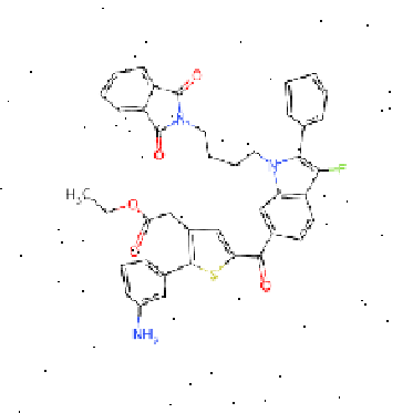 CCOC(=O)Cc1cc(C(=O)c2ccc3c(F)c(-c4ccccc4)n(CCCCN4C(=O)c5ccccc5C4=O)c3c2)sc1-c1cccc(N)c1